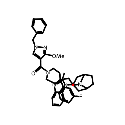 COc1nn(Cc2ccccc2)cc1C(=O)N1CCC(CCN2C3CCC2CC(n2c(C)nc4ccccc42)C3)(c2cccc(F)c2)CC1